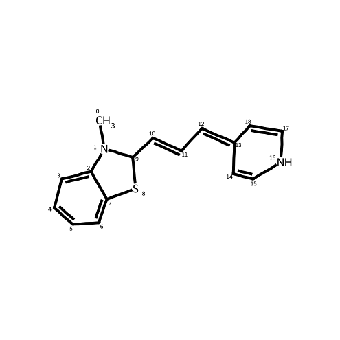 CN1c2ccccc2SC1C=CC=C1C=CNC=C1